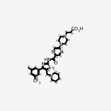 Cc1cc(-c2nc(NC(=O)c3cnc(N4CCN(CCC(=O)O)CC4)cn3)sc2CN2CCCC[C@H]2C)cc(C(F)(F)F)c1